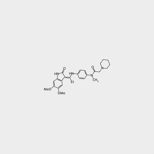 CC/C(Nc1ccc(N(C)C(=O)CN2CCCCC2)cc1)=C1/C(=O)Nc2cc(OC)c(OC)cc21